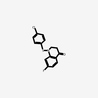 O=C1CCN(Sc2ccc(Cl)cc2)c2cc(F)ccc21